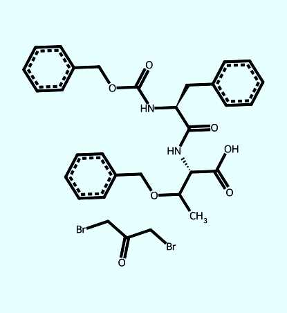 CC(OCc1ccccc1)[C@H](NC(=O)[C@H](Cc1ccccc1)NC(=O)OCc1ccccc1)C(=O)O.O=C(CBr)CBr